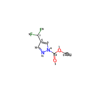 CC(C)(C)OC(=O)n1cc(C(F)F)cn1